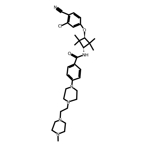 CN1CCN(CCN2CCN(c3ccc(C(=O)N[C@H]4C(C)(C)[C@H](Oc5ccc(C#N)c(Cl)c5)C4(C)C)cc3)CC2)CC1